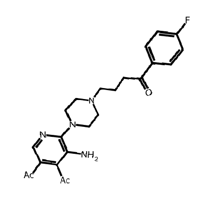 CC(=O)c1cnc(N2CCN(CCCC(=O)c3ccc(F)cc3)CC2)c(N)c1C(C)=O